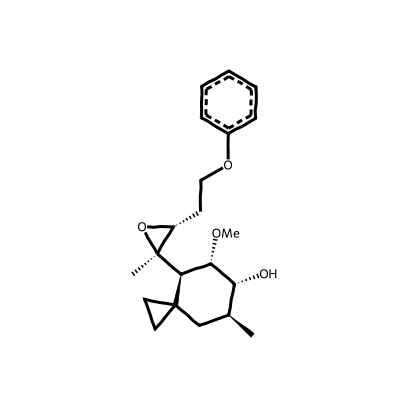 CO[C@@H]1[C@H](O)[C@@H](C)CC2(CC2)[C@H]1[C@@]1(C)O[C@@H]1CCOc1ccccc1